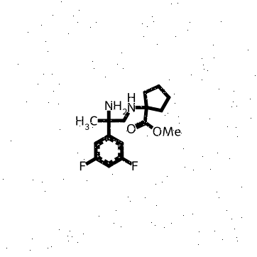 COC(=O)C1(NCC(C)(N)c2cc(F)cc(F)c2)CCCC1